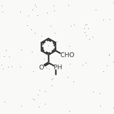 CPC(=O)c1ccccc1C=O